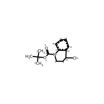 CC(C)(C)OC(=O)N1CCC(Cl)c2ccccc21